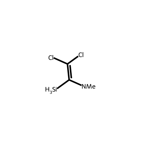 CNC([SiH3])=C(Cl)Cl